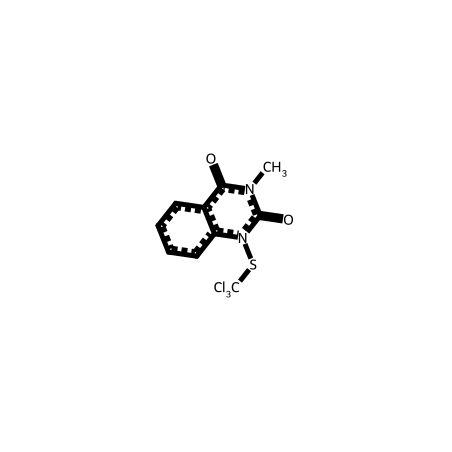 Cn1c(=O)c2ccccc2n(SC(Cl)(Cl)Cl)c1=O